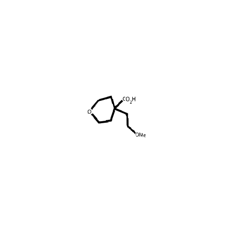 COCCC1(C(=O)O)CCOCC1